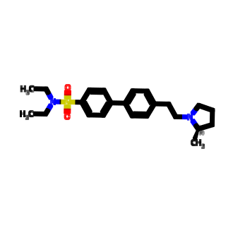 CCN(CC)S(=O)(=O)c1ccc(-c2ccc(CCN3CCC[C@H]3C)cc2)cc1